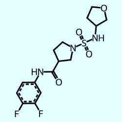 O=C(Nc1ccc(F)c(F)c1)C1CCN(S(=O)(=O)NC2CCOC2)C1